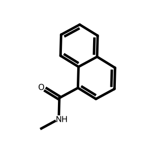 CNC(=O)c1cccc2ccccc12